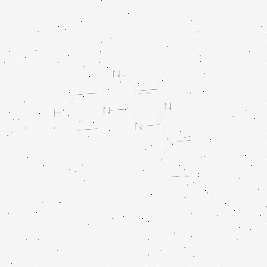 Cc1nc(N2CC[S+]([O-])CC2)nc(N2CCNCC2)c1C#N